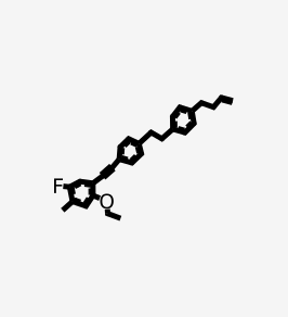 C=CCCc1ccc(CCc2ccc(C#Cc3cc(F)c(C)cc3OCC)cc2)cc1